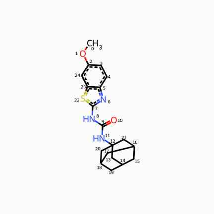 COc1ccc2nc(NC(=O)NC34CC5CC(CC(C5)C3)C4)sc2c1